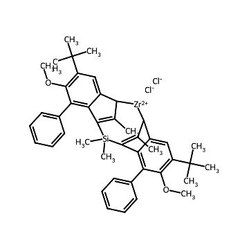 COc1c(C(C)(C)C)cc2c(c1-c1ccccc1)C1=C(C)[CH]2[Zr+2][CH]2C(C)=C(c3c2cc(C(C)(C)C)c(OC)c3-c2ccccc2)[Si]1(C)C.[Cl-].[Cl-]